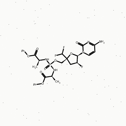 CC(C)OC(=O)[C@H](C)NP(=S)(N[C@@H](C)C(=O)OC(C)C)OC[C@]1(C(F)F)C[C@H](F)[C@H](n2ccc(N)nc2=O)O1